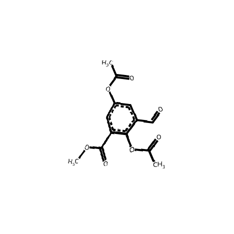 COC(=O)c1cc(OC(C)=O)cc(C=O)c1OC(C)=O